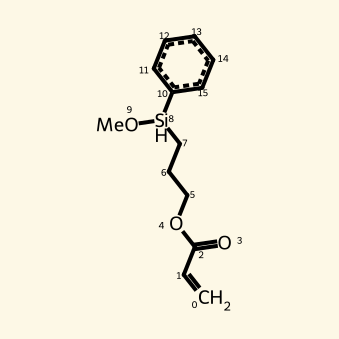 C=CC(=O)OCCC[SiH](OC)c1ccccc1